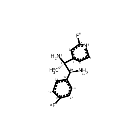 C[C@](N)(c1ccnc(F)c1)[C@@H](N)c1ccc(F)cc1